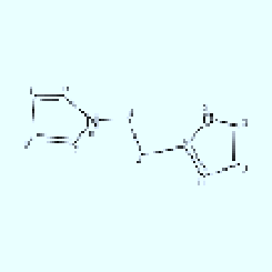 c1coc(CCn2cccc2)c1